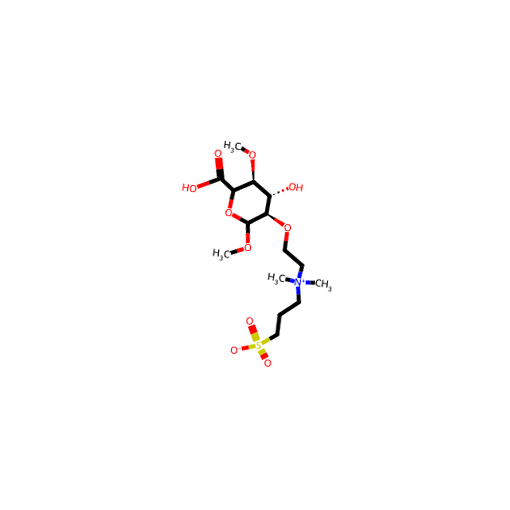 COC1OC(C(=O)O)[C@@H](OC)[C@H](O)[C@H]1OCC[N+](C)(C)CCCS(=O)(=O)[O-]